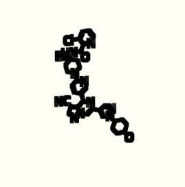 CCC1(NC(=O)c2ncccc2Cl)CCN(c2ccc(-c3nc(-c4cnn(C5CCC(=O)CC5)c4)cn4ncc(C#N)c34)cn2)CC1